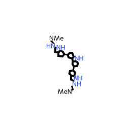 CNCCNc1cc2ccc(-c3ccc4[nH]c5ccc(-c6ccc7cc(NCCNC)[nH]c7c6)cc5c4c3)cc2[nH]1